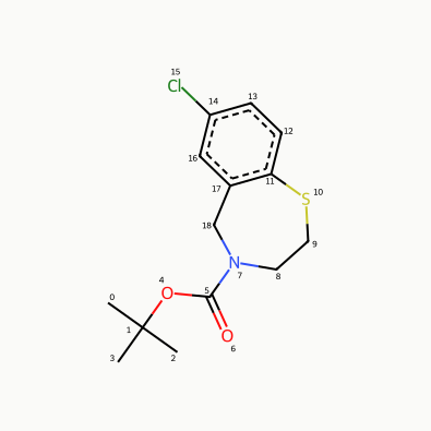 CC(C)(C)OC(=O)N1CCSc2ccc(Cl)cc2C1